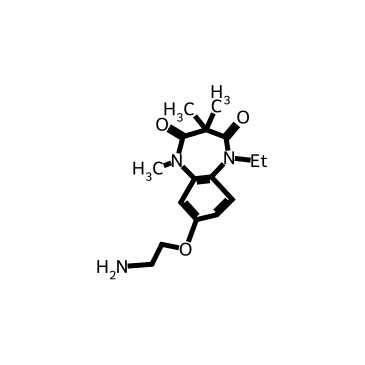 CCN1C(=O)C(C)(C)C(=O)N(C)c2cc(OCCN)ccc21